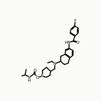 CCN(CC1CCN(OC(=O)NC(C)C)CC1)C1CCc2ccc(NC(=O)c3ccc(F)cc3)cc2C1